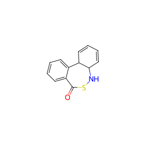 O=C1SNC2C=CC=CC2c2ccccc21